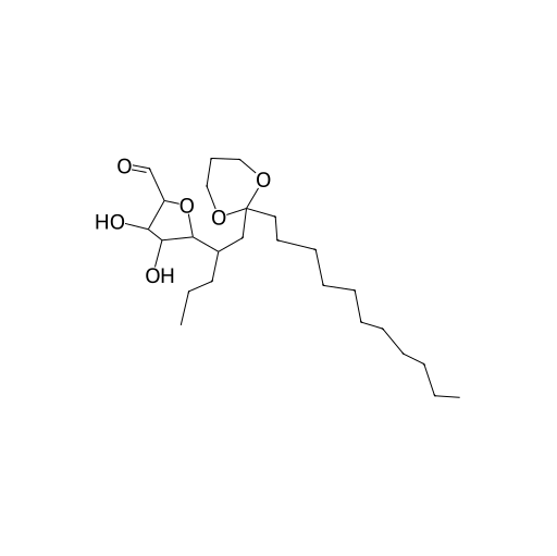 CCCCCCCCCCCC1(CC(CCC)C2OC(C=O)C(O)C2O)OCCCO1